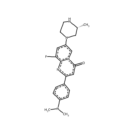 C[C@@H]1CN(c2cc(F)c3nc(-c4ccc(N(C)C)cc4)cc(=O)n3c2)CCN1